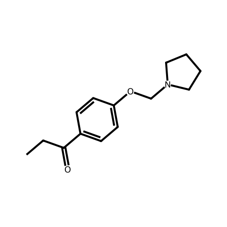 CCC(=O)c1ccc(OCN2CCCC2)cc1